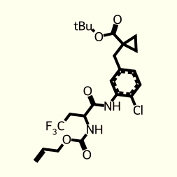 C=CCOC(=O)NC(CC(F)(F)F)C(=O)Nc1cc(CC2(C(=O)OC(C)(C)C)CC2)ccc1Cl